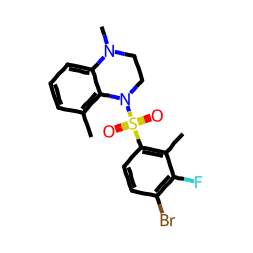 Cc1cccc2c1N(S(=O)(=O)c1ccc(Br)c(F)c1C)CCN2C